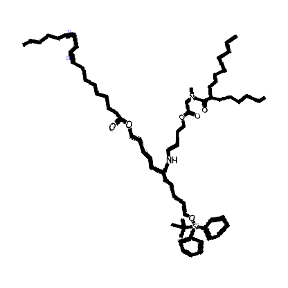 CCCCC/C=C\C/C=C\CCCCCCCC(=O)OCCCCCC(CCCCCO[Si](c1ccccc1)(c1ccccc1)C(C)(C)C)NCCCCOC(=O)CN(C)C(=O)C(CCCCCC)CCCCCCCC